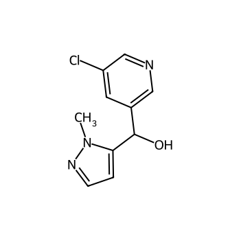 Cn1nccc1C(O)c1cncc(Cl)c1